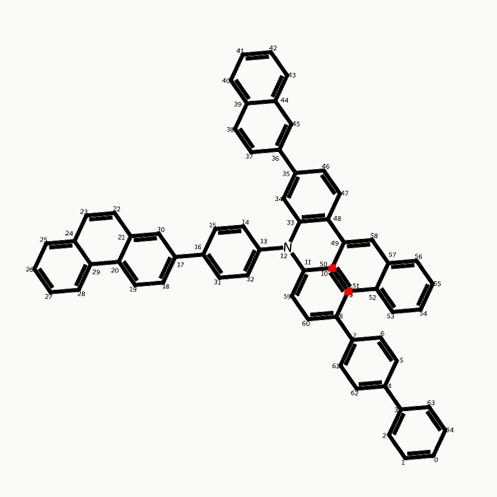 c1ccc(-c2ccc(-c3ccc(N(c4ccc(-c5ccc6c(ccc7ccccc76)c5)cc4)c4cc(-c5ccc6ccccc6c5)ccc4-c4ccc5ccccc5c4)cc3)cc2)cc1